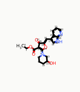 CCOC(=O)C1=C(N2CCCC(O)C2)OC(=Cc2c[nH]c3ncccc23)C1=O